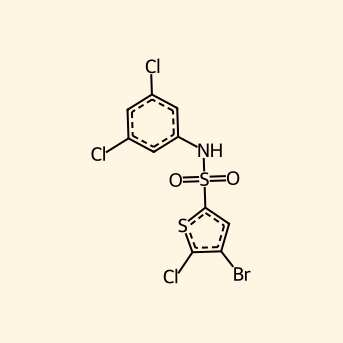 O=S(=O)(Nc1cc(Cl)cc(Cl)c1)c1cc(Br)c(Cl)s1